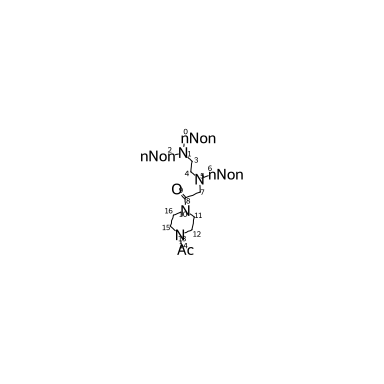 CCCCCCCCCN(CCCCCCCCC)CCN(CCCCCCCCC)CC(=O)N1CCN(C(C)=O)CC1